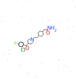 NC(=O)CC1CCC(CCN2CCC(C(=O)c3ccc(F)cc3Cl)CC2)CC1